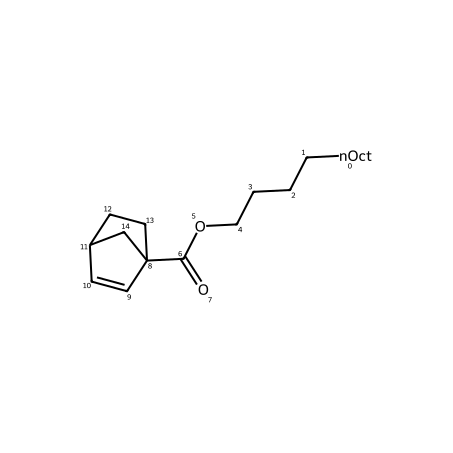 CCCCCCCCCCCCOC(=O)C12C=CC(CC1)C2